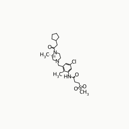 Cc1c(CN2CCN(C(=O)CC3CCCC3)[C@@H](C)C2)cc(Cl)cc1NC(=O)CCS(C)(=O)=O